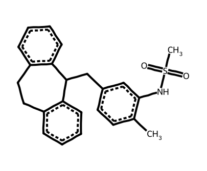 Cc1ccc(CC2c3ccccc3CCc3ccccc32)cc1NS(C)(=O)=O